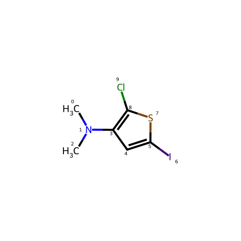 CN(C)c1cc(I)sc1Cl